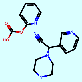 N#CC(c1cccnc1)N1CCNCC1.O=C(O)Oc1ccccn1